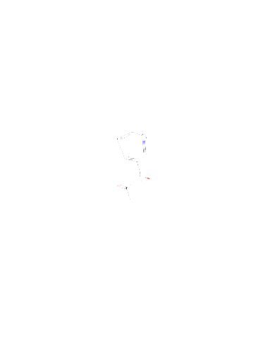 O=C(O)[C@H](O)c1cccnc1